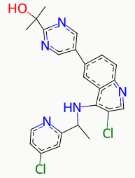 CC(Nc1c(Cl)cnc2ccc(-c3cnc(C(C)(C)O)nc3)cc12)c1cc(Cl)ccn1